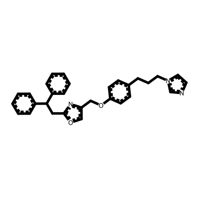 c1ccc(C(Cc2nc(COc3ccc(CCCn4ccnc4)cc3)co2)c2ccccc2)cc1